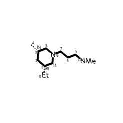 CC[C@@H]1C[C@H](C)CN(CCCNC)C1